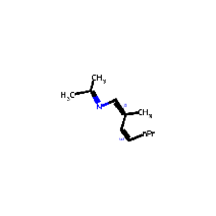 CCC/C=C\C(C)=C/N=C(C)C